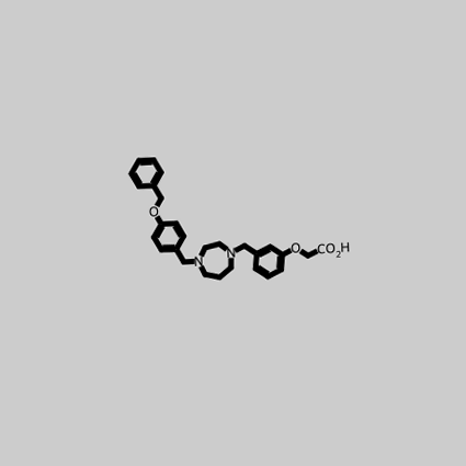 O=C(O)COc1cccc(CN2CCCN(Cc3ccc(OCc4ccccc4)cc3)CC2)c1